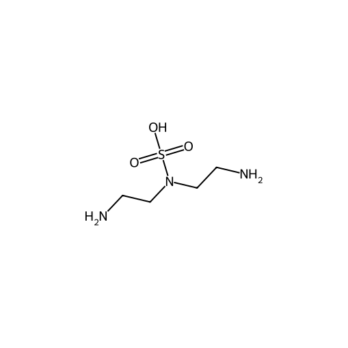 NCCN(CCN)S(=O)(=O)O